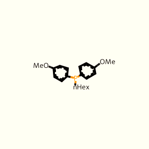 CCCCCCP(c1ccc(OC)cc1)c1ccc(OC)cc1